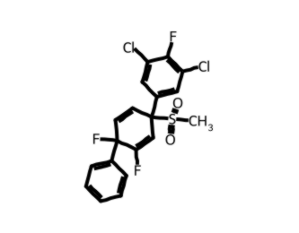 CS(=O)(=O)C1(c2cc(Cl)c(F)c(Cl)c2)C=CC(F)(c2ccccc2)C(F)=C1